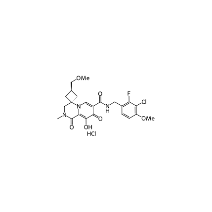 COC[C@H]1C[C@]2(CN(C)C(=O)c3c(O)c(=O)c(C(=O)NCc4ccc(OC)c(Cl)c4F)cn32)C1.Cl